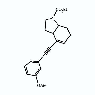 CCOC(=O)N1CCC2C(C#Cc3cccc(OC)c3)=CCCC21